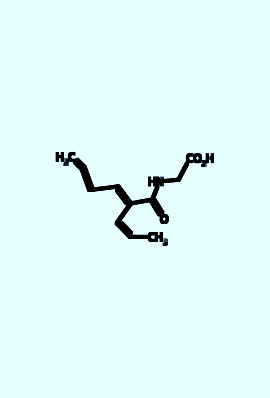 C=C=C/C=C(\C=C/C)C(=O)NCC(=O)O